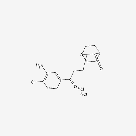 Cl.Cl.Nc1cc(C(=O)CCC2C(=O)C3CCN2CC3)ccc1Cl